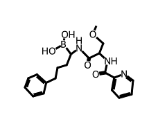 COCC(NC(=O)c1ccccn1)C(=O)NC(CCCc1ccccc1)B(O)O